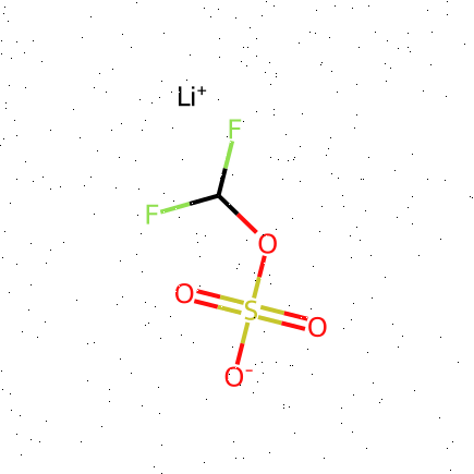 O=S(=O)([O-])OC(F)F.[Li+]